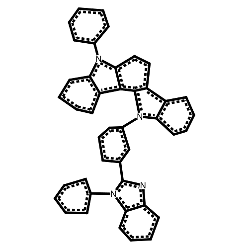 c1ccc(-n2c(-c3cccc(-n4c5ccccc5c5ccc6c(c7ccccc7n6-c6ccccc6)c54)c3)nc3ccccc32)cc1